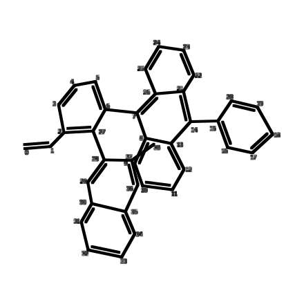 C=Cc1cccc(-c2c3ccccc3c(-c3ccccc3)c3ccccc23)c1-c1cc2ccccc2cc1C